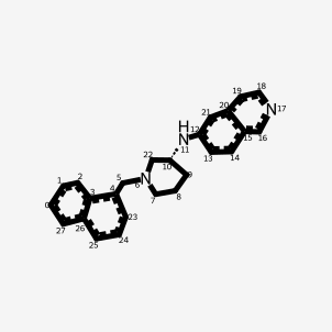 c1ccc2c(CN3CCC[C@@H](Nc4ccc5cnccc5c4)C3)cccc2c1